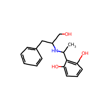 CC(NC(CO)Cc1ccccc1)c1c(O)cccc1O